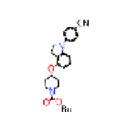 CC(C)(C)OC(=O)N1CCC(Oc2cccc3c2CCN3c2ccc(C#N)cc2)CC1